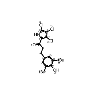 CC(C)(C)c1cc(CCC(=O)c2[nH]c(Cl)c(Cl)c2Cl)cc(C(C)(C)C)c1O